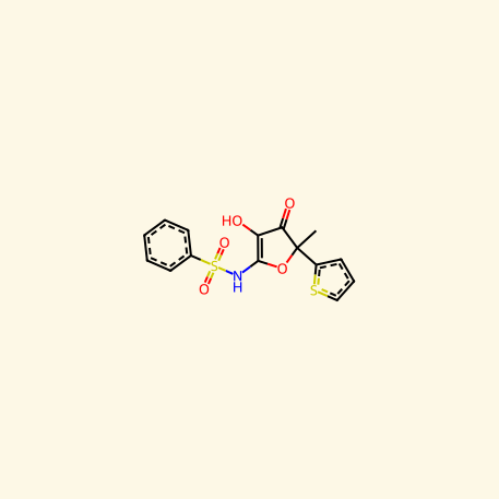 CC1(c2cccs2)OC(NS(=O)(=O)c2ccccc2)=C(O)C1=O